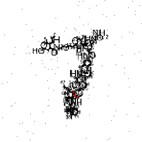 CCCC(CC)C(CC(=O)O)C(=O)NCCOCCC(=O)N[C@H](C(=O)N[C@@H](CCCNC(N)=O)C(=O)Nc1cccc(C[C@H](NC(=O)[C@H](C)[C@@H](OC)[C@@H]2CCCN2C(=O)C[C@@H](OC)[C@H]([C@@H](C)CC)N(C)C(=O)[C@@H](NC(=O)[C@@H]2[C@H]3CC[C@@H]([C@H]3C)N2C)C(C)C)c2nccs2)c1)C(C)C